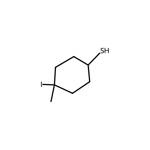 CC1(I)CCC(S)CC1